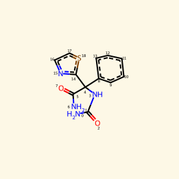 NC(=O)NC(C(N)=O)(c1ccccc1)c1nccs1